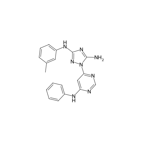 Cc1cccc(Nc2nc(N)n(-c3cc(Nc4ccccc4)ncn3)n2)c1